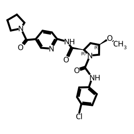 CO[C@@H]1C[C@H](C(=O)Nc2ccc(C(=O)N3CCCC3)cn2)N(C(=O)Nc2ccc(Cl)cc2)C1